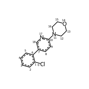 Clc1ccccc1-c1ccc(N2CCOCC2)nc1